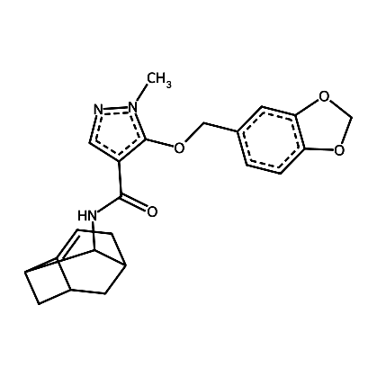 Cn1ncc(C(=O)NC2C3CC=C4C(C3)CC42)c1OCc1ccc2c(c1)OCO2